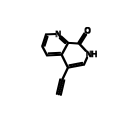 C#Cc1c[nH]c(=O)c2ncccc12